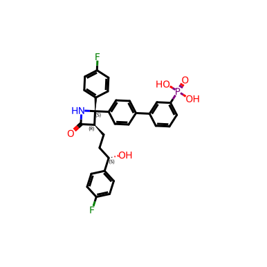 O=C1N[C@](c2ccc(F)cc2)(c2ccc(-c3cccc(P(=O)(O)O)c3)cc2)[C@H]1CC[C@H](O)c1ccc(F)cc1